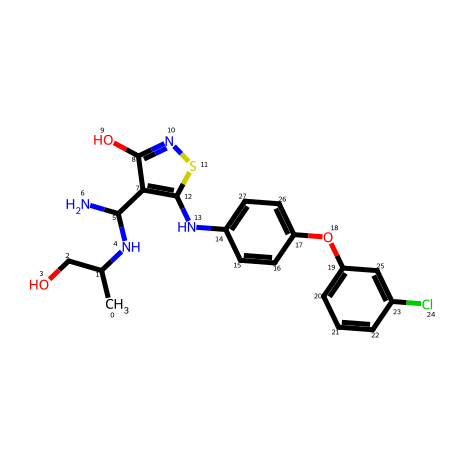 CC(CO)NC(N)c1c(O)nsc1Nc1ccc(Oc2cccc(Cl)c2)cc1